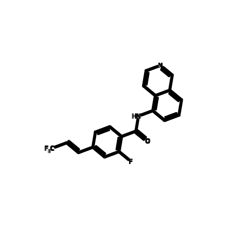 O=C(Nc1cccc2cnccc12)c1ccc(C=CC(F)(F)F)cc1F